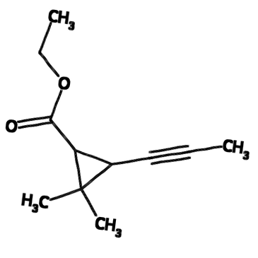 CC#CC1C(C(=O)OCC)C1(C)C